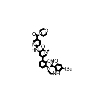 Cn1cc(-c2cccc(N3CCNc4cc(C(C)(C)C)ccc4C3=O)c2C=O)cc(Nc2ccc(C(=O)N3CCOCC3)cn2)c1=O